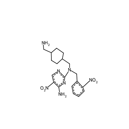 NCC1CCC(CN(Cc2ccccc2[N+](=O)[O-])c2ncc([N+](=O)[O-])c(N)n2)CC1